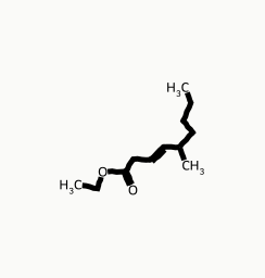 CCCCC(C)C=CCC(=O)OCC